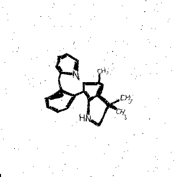 Cc1cc(-c2ccccc2-c2ccccn2)c2c(c1)C(C)(C)CN2